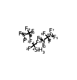 FC(F)(F)[SiH3].FN(F)C(F)(F)N(F)F.FP(F)C(F)(F)F